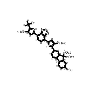 CCCCCCCCC1(CCCCCCCC)c2cc(-c3sc(-c4ccc(-c5cc(CCCCCC)c(C(C)(C)CC)s5)c5nsnc45)cc3CCCCCC)ccc2-c2ccc(C(C)(C)C)cc21